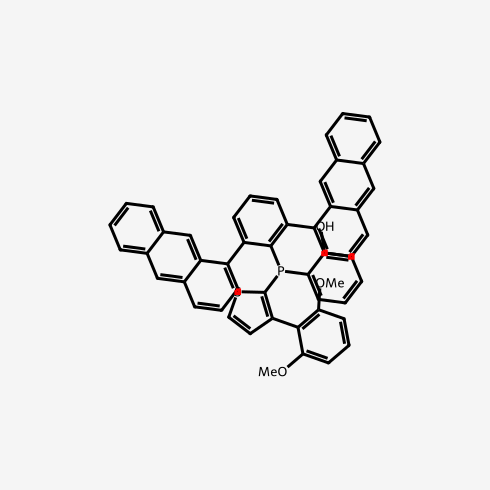 COc1cccc(OC)c1-c1ccsc1P(c1ccccc1O)c1c(-c2cccc3cc4ccccc4cc23)cccc1-c1cccc2cc3ccccc3cc12